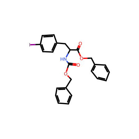 O=C(NC(Cc1ccc(I)cc1)C(=O)OCc1ccccc1)OCc1ccccc1